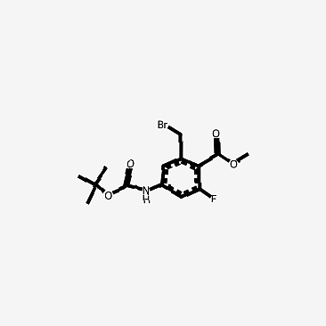 COC(=O)c1c(F)cc(NC(=O)OC(C)(C)C)cc1CBr